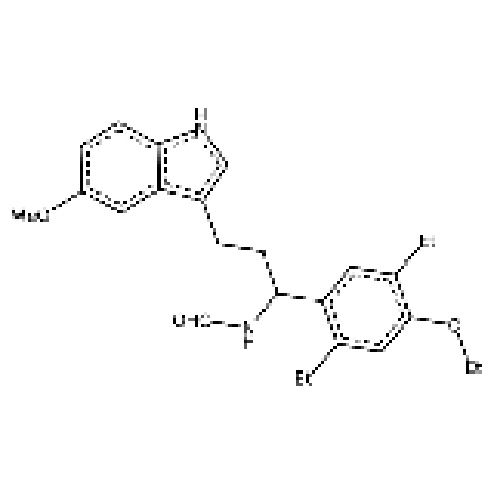 CCOc1cc(CC)c(C(CCc2c[nH]c3ccc(OC)cc23)NC=O)cc1CC